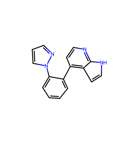 c1ccc(-n2cccn2)c(-c2ccnc3[nH]ccc23)c1